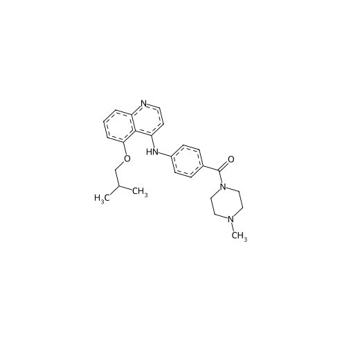 CC(C)COc1cccc2nccc(Nc3ccc(C(=O)N4CCN(C)CC4)cc3)c12